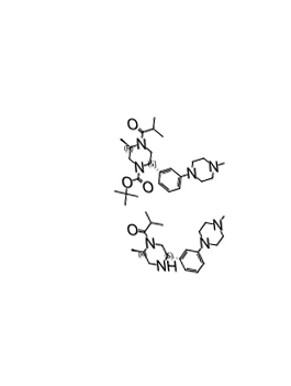 CC(C)C(=O)N1C[C@H](c2cccc(N3CCN(C)CC3)c2)N(C(=O)OC(C)(C)C)C[C@H]1C.CC(C)C(=O)N1C[C@H](c2cccc(N3CCN(C)CC3)c2)NC[C@H]1C